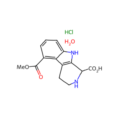 COC(=O)c1cccc2[nH]c3c(c12)CCNC3C(=O)O.Cl.O